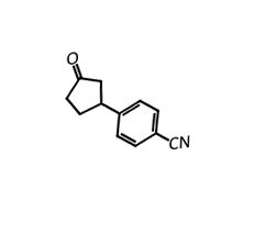 N#Cc1ccc(C2CCC(=O)C2)cc1